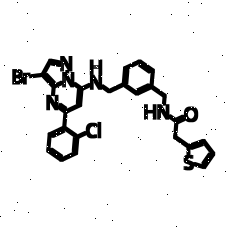 O=C(Cc1cccs1)NCc1cccc(CNc2cc(-c3ccccc3Cl)nc3c(Br)cnn23)c1